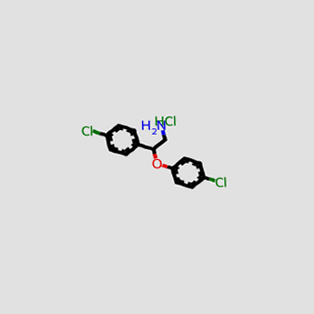 Cl.NCC(Oc1ccc(Cl)cc1)c1ccc(Cl)cc1